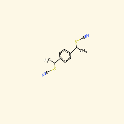 CC(SC#N)c1ccc(C(C)SC#N)cc1